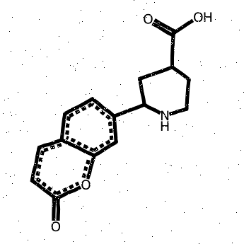 O=C(O)C1CCNC(c2ccc3ccc(=O)oc3c2)C1